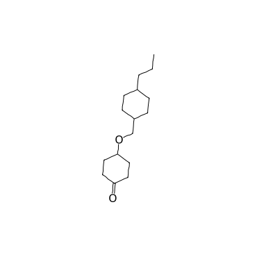 CCCC1CCC(COC2CCC(=O)CC2)CC1